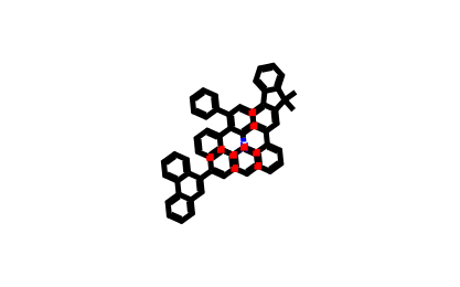 CC1(C)c2ccccc2-c2ccc(-c3ccccc3N(c3ccc(-c4cc5ccccc5c5ccccc45)cc3)c3cccc(-c4ccccc4)c3-c3ccccc3-c3ccccc3)cc21